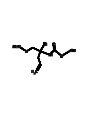 C=CCC(CC)(COOC)NC(=O)OC(C)(C)C